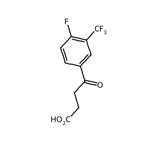 O=C(O)CCC(=O)c1ccc(F)c(C(F)(F)F)c1